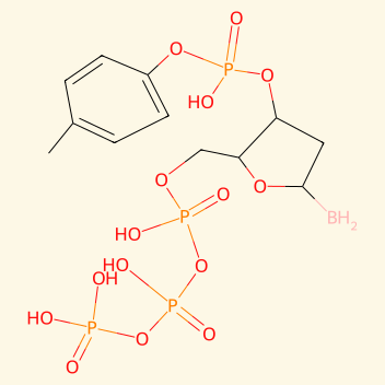 BC1CC(OP(=O)(O)Oc2ccc(C)cc2)C(COP(=O)(O)OP(=O)(O)OP(=O)(O)O)O1